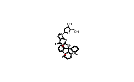 COc1ccccc1C(Nc1nc2c(ncn2[C@H]2C[C@H](O)[C@@H](CO)O2)c(=O)[nH]1)(c1ccccc1)c1ccccc1OC